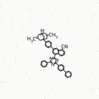 C[C@@H]1C[C@@H]2C[C@H](C)CC(c3ccc(-c4cc(-c5nc(-c6ccccc6)nc(-c6ccc(-c7ccccc7)cc6)n5)c5cccc(C#N)c5c4)cc3)(C1)C2